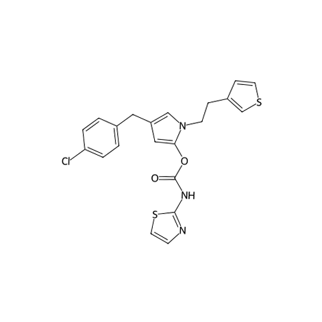 O=C(Nc1nccs1)Oc1cc(Cc2ccc(Cl)cc2)cn1CCc1ccsc1